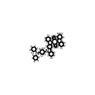 c1ccc(N(c2ccccc2)c2ccc(-n3c4ccccc4c4cc5c(cc43)-c3ccccc3C53c4ccccc4C4(c5ccccc5-c5ccccc54)c4ccccc43)cc2)cc1